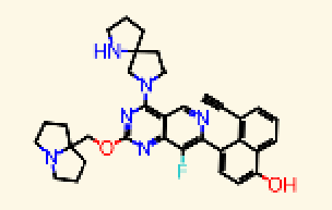 C#Cc1cccc2c(O)ccc(-c3ncc4c(N5CCC6(CCCN6)C5)nc(OCC56CCCN5CCC6)nc4c3F)c12